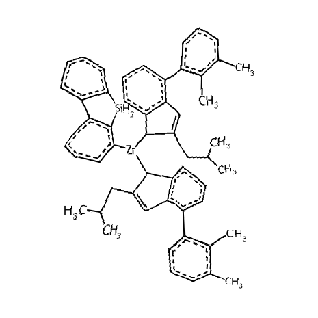 Cc1cccc(-c2cccc3c2C=C(CC(C)C)[CH]3[Zr]([c]2cccc3c2[SiH2]c2ccccc2-3)[CH]2C(CC(C)C)=Cc3c(-c4cccc(C)c4C)cccc32)c1C